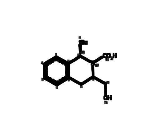 CC(C)(C)[C@@H]1c2ccccc2CC(CO)N1C(=O)O